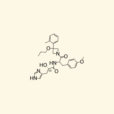 CCCOC1(c2ccccc2C)CN(C(=O)C(Cc2ccc(OC)cc2)NC(=O)[C@@H](O)Cc2c[nH]cn2)C1